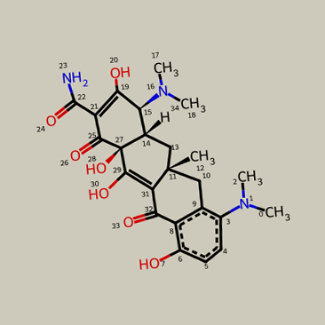 CN(C)c1ccc(O)c2c1C[C@@]1(C)C[C@H]3[C@H](N(C)C)C(O)=C(C(N)=O)C(=O)[C@@]3(O)C(O)=C1C2=O